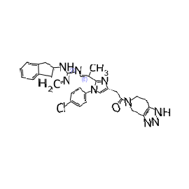 C=N/C(=N\C=C(/C)c1nc(CC(=O)N2CCc3[nH]nnc3C2)cn1-c1ccc(Cl)cc1)NC1Cc2ccccc2C1